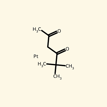 CC(=O)CC(=O)C(C)(C)C.[Pt]